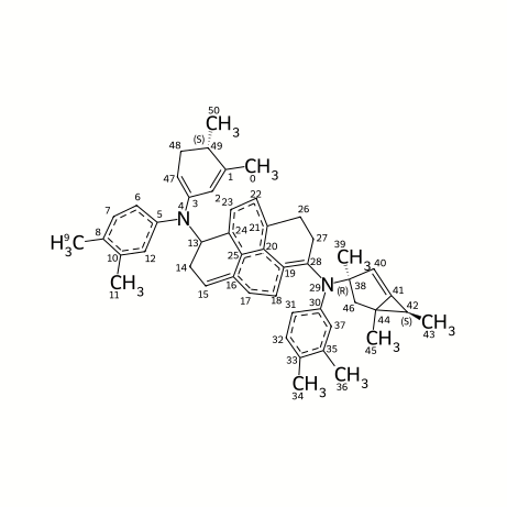 CC1=CC(N(c2ccc(C)c(C)c2)C2CC=c3ccc4c5c(ccc2c35)CCC=4N(c2ccc(C)c(C)c2)[C@@]2(C)C=C3[C@@H](C)C3(C)C2)=CC[C@@H]1C